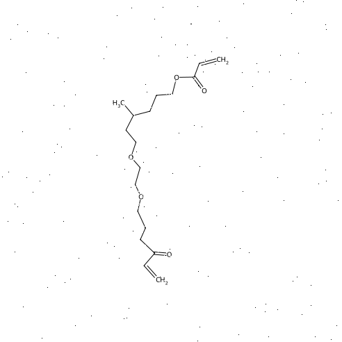 C=CC(=O)CCCOCCOCCC(C)CCCOC(=O)C=C